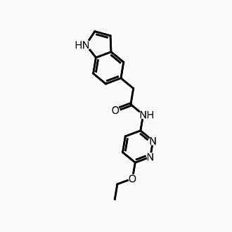 CCOc1ccc(NC(=O)Cc2ccc3[nH]ccc3c2)nn1